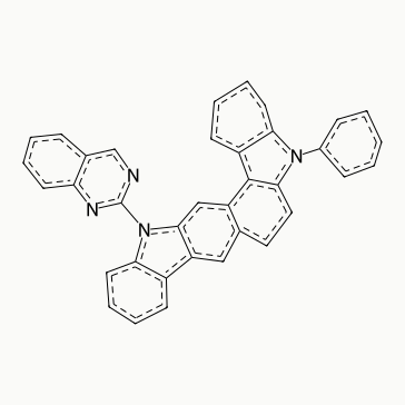 c1ccc(-n2c3ccccc3c3c4cc5c(cc4ccc32)c2ccccc2n5-c2ncc3ccccc3n2)cc1